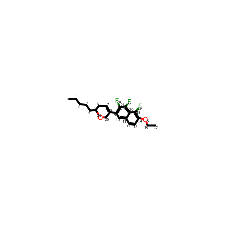 CCCCCC1CC=C(c2cc3ccc(OCC)c(F)c3c(F)c2F)CO1